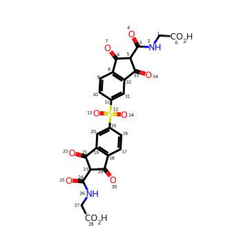 O=C(O)CNC(=O)C1C(=O)c2ccc(S(=O)(=O)c3ccc4c(c3)C(=O)C(C(=O)NCC(=O)O)C4=O)cc2C1=O